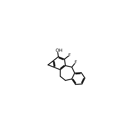 Oc1c(F)c2c(c3c1C3)CCc1ccccc1C2F